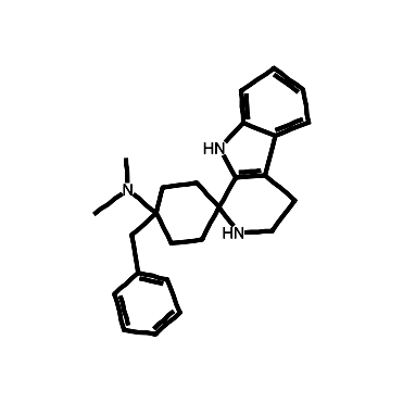 CN(C)C1(Cc2ccccc2)CCC2(CC1)NCCc1c2[nH]c2ccccc12